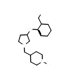 CCOC(=O)N1CCC(CN2CCC(NC3=CCCCC3CC=O)C2)CC1